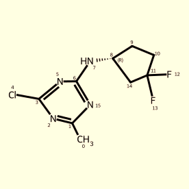 Cc1nc(Cl)nc(N[C@@H]2CCC(F)(F)C2)n1